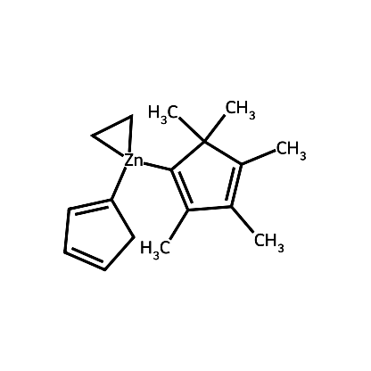 CC1=C(C)C(C)(C)[C]([Zn]2([C]3=CC=CC3)[CH2][CH2]2)=C1C